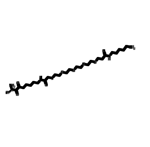 CC(C)[C@H](N)C(=O)C(=O)CCCCCNC(=O)CSCCOCCOCCOCCOCCC(=O)NCCCCCN